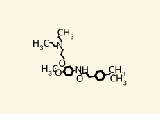 CCCN(CCC)CCCOc1cc(NC(=O)C=Cc2ccc(C(C)C)cc2)ccc1OC